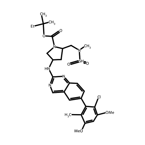 CCC(C)(C)OC(=O)N1CC(Nc2ncc3cc(-c4c(C)c(OC)cc(OC)c4Cl)ccc3n2)CC1CN(C)[SH](=O)=O